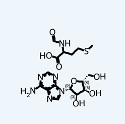 CSCCC(NC=O)C(=O)O.Nc1ncnc2c1ncn2[C@@H]1O[C@H](CO)[C@@H](O)[C@H]1O